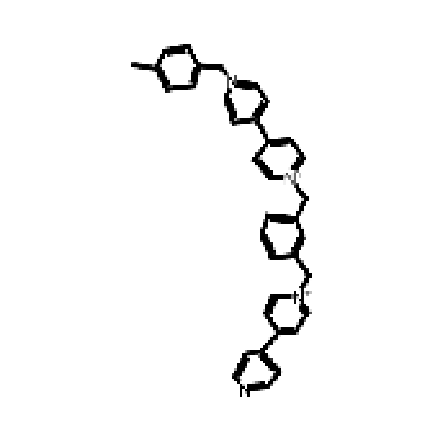 Cc1ccc(C[n+]2ccc(-c3cc[n+](Cc4cccc(C[n+]5ccc(-c6ccncc6)cc5)c4)cc3)cc2)cc1